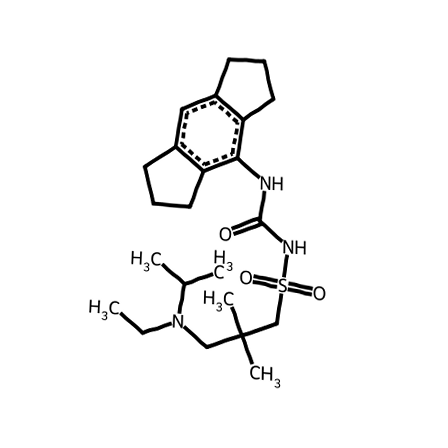 CCN(CC(C)(C)CS(=O)(=O)NC(=O)Nc1c2c(cc3c1CCC3)CCC2)C(C)C